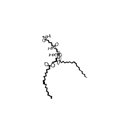 CCCCCCCC/C=C\CCCCCCCC(=O)OCC(COP(=O)(O)OCCNC(=O)CCCCC(=O)NC)OC(=O)CCCCCCC/C=C\CCCCCCCC